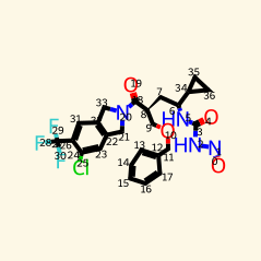 O=NNC(=O)NC(C[C@@H](COCc1ccccc1)C(=O)N1Cc2cc(Cl)c(C(F)(F)F)cc2C1)C1CC1